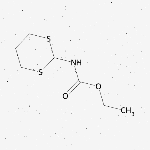 CCOC(=O)NC1SCCCS1